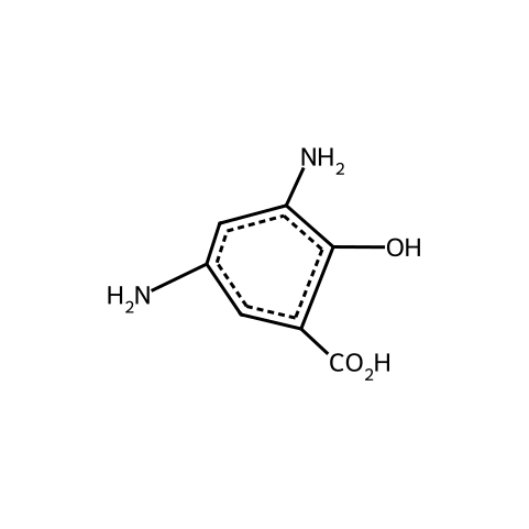 Nc1cc(N)c(O)c(C(=O)O)c1